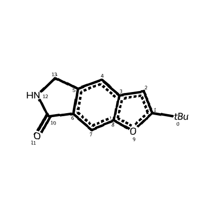 CC(C)(C)c1cc2cc3c(cc2o1)C(=O)NC3